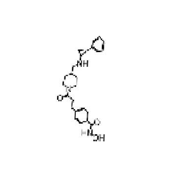 O=C(NO)c1ccc(CCC(=O)N2CCC(CNC3CC3c3ccccc3)CC2)cc1